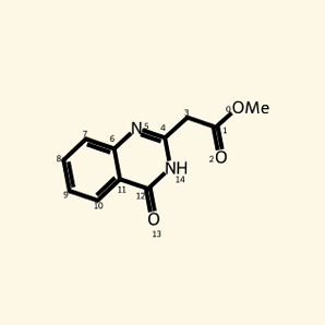 COC(=O)Cc1nc2ccccc2c(=O)[nH]1